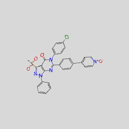 CS(=O)(=O)c1nn(-c2ccccc2)c2nc(-c3ccc(-c4cc[n+]([O-])cc4)cc3)n(-c3ccc(Cl)cc3)c(=O)c12